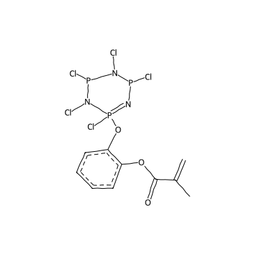 C=C(C)C(=O)Oc1ccccc1OP1(Cl)=NP(Cl)N(Cl)P(Cl)N1Cl